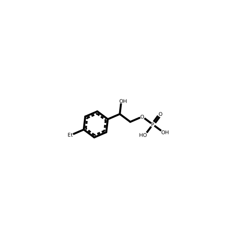 CCc1ccc(C(O)COP(=O)(O)O)cc1